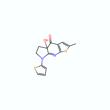 Cc1cc2c(s1)N=C1N(c3cccs3)CCC1(O)C2=O